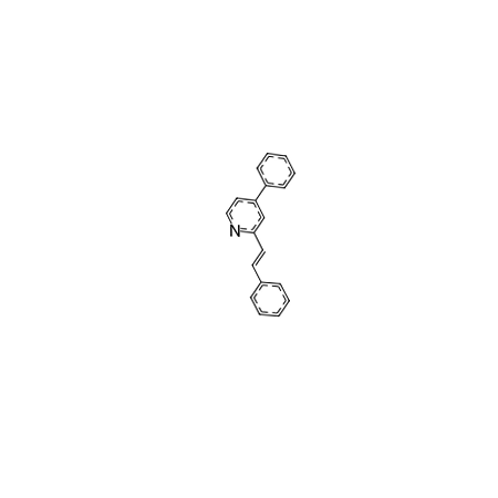 C(=Cc1cc(-c2ccccc2)ccn1)c1ccccc1